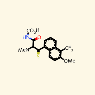 CNC(C(=O)NC(=O)O)C(=S)c1cccc2c(C(F)(F)F)c(OC)ccc12